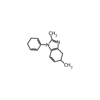 Cc1nc2c(n1C1=CCCC=C1)C=CC(C)C2